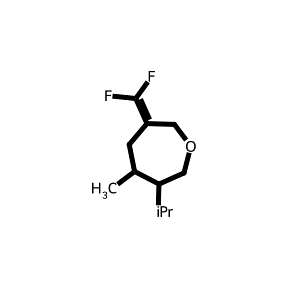 CC(C)C1COCC(=C(F)F)CC1C